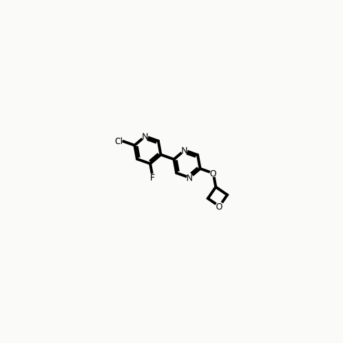 Fc1cc(Cl)ncc1-c1cnc(OC2COC2)cn1